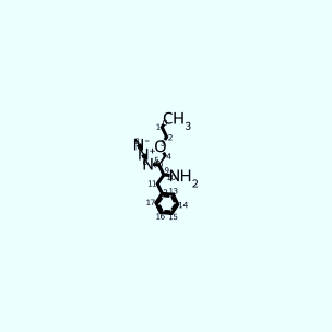 CCCOC[C@H](N=[N+]=[N-])C(N)Cc1ccccc1